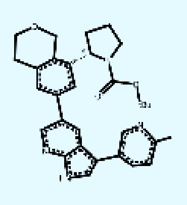 Cc1ccc(-c2c[nH]c3ncc(-c4cc5c(c([C@@H]6CCCN6C(=O)OC(C)(C)C)c4)COCC5)cc23)cn1